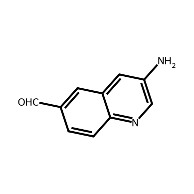 Nc1cnc2ccc(C=O)cc2c1